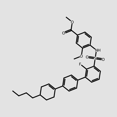 CCCCC1CC=C(c2ccc(-c3cccc(S(=O)(=O)Nc4ccc(C(=O)OC)cc4OC)c3F)cc2)CC1